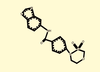 O=C(Nc1ccc2scnc2c1)c1ccc(N2CCOCS2(=O)=O)cc1